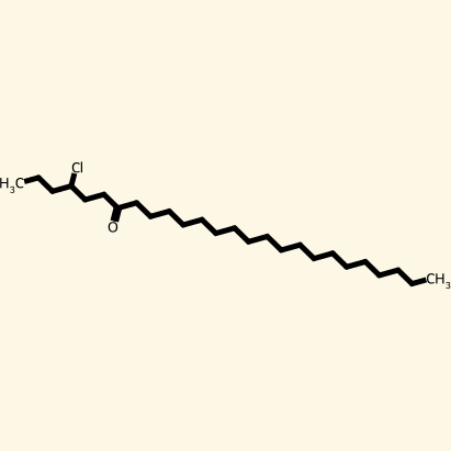 CCCCCCCCCCCCCCCCCCCC(=O)CCC(Cl)CCC